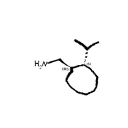 CC(C)[C@@H]1CCCC[C@H]1CN